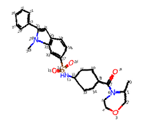 CC1COCCN1C(=O)C1CCC(NS(=O)(=O)c2ccc3cc(-c4ccccc4)n(C)c3c2)CC1